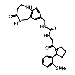 CCN1Cc2cc(CNC(=O)NCC(=O)N3CCCC3c3ccccc3SC)ccc2NCCC1=O